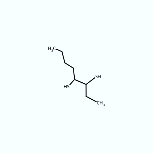 CCCCC(S)C(S)CC